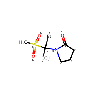 CCC(C(=O)O)(N1CCCC1=O)S(C)(=O)=O